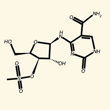 CS(=O)(=O)O[C@@H]1[C@@H](O)[C@H](Nc2nc(=O)[nH]cc2C(N)=O)O[C@@H]1CO